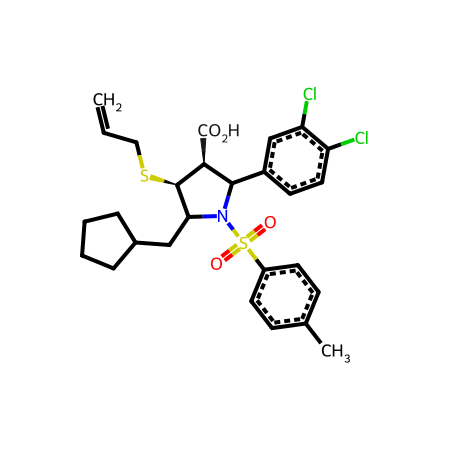 C=CCS[C@@H]1C(CC2CCCC2)N(S(=O)(=O)c2ccc(C)cc2)C(c2ccc(Cl)c(Cl)c2)[C@@H]1C(=O)O